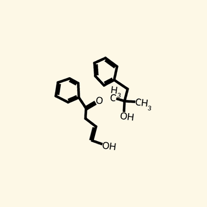 CC(C)(O)Cc1ccccc1.O=C(CC=CO)c1ccccc1